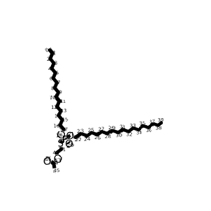 CCCCCCCCCCCCCCCCCCOP(=O)(OCCCCCCCCCCCCCCCCCC)SCCOC(C)=O